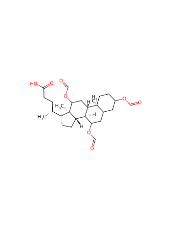 C[C@H](CCC(=O)O)[C@H]1CC[C@H]2[C@@H]3C(OC=O)CC4CC(OC=O)CC[C@]4(C)[C@H]3CC(OC=O)[C@]12C